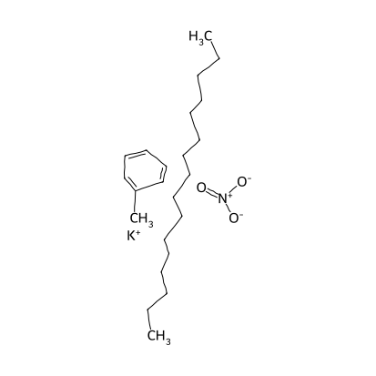 CCCCCCCCCCCCCCCC.Cc1ccccc1.O=[N+]([O-])[O-].[K+]